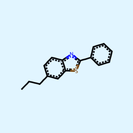 CCCc1ccc2nc(-c3ccccc3)sc2c1